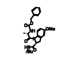 CCCCNC(=O)[C@@H]1Cc2cc(OC)ccc2N1C(=O)[C@H](C)NC(=O)OCc1ccccc1